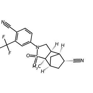 C[C@@]12[C@H]3C[C@H]([C@H](C#N)C3)[C@@H]1CN(c1ccc(C#N)c(C(F)(F)F)c1)S2(=O)=O